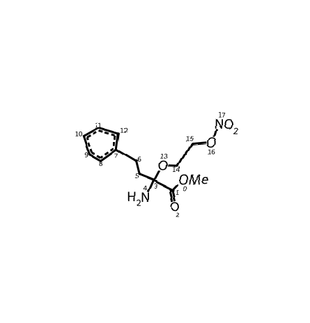 COC(=O)C(N)(CCc1ccccc1)OCCO[N+](=O)[O-]